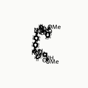 COC(=O)N[C@@H]1CC[C@H](C(=O)N2CCC[C@H]2c2ncc(-c3ccc(-c4ccc(-c5cnc([C@@H]6CCCN6C(=O)[C@H](NC(=O)OC)c6ccccc6)[nH]5)cc4)cc3)[nH]2)C1